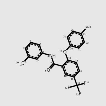 Cc1cccc(NC(=O)c2cc(C(F)(F)F)ccc2Oc2ccc(F)cc2)c1